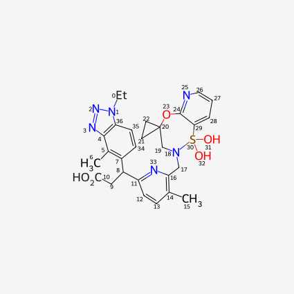 CCn1nnc2c(C)c(C(CC(=O)O)c3ccc(C)c(CN4CC5(CC5)Oc5ncccc5S4(O)O)n3)ccc21